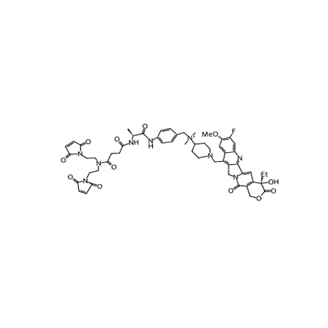 CC[C@@]1(O)C(=O)OCc2c1cc1n(c2=O)Cc2c-1nc1cc(F)c(OC)cc1c2CN1CCC([N+](C)(C)Cc2ccc(NC(=O)[C@H](C)NC(=O)CCC(=O)N(CCN3C(=O)C=CC3=O)CCN3C(=O)C=CC3=O)cc2)CC1